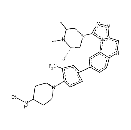 CCNC1CCN(c2ccc(-c3ccc4ncc5nnc(N6CC(C)N(C)[C@@H](C)C6)n5c4c3)cc2C(F)(F)F)CC1